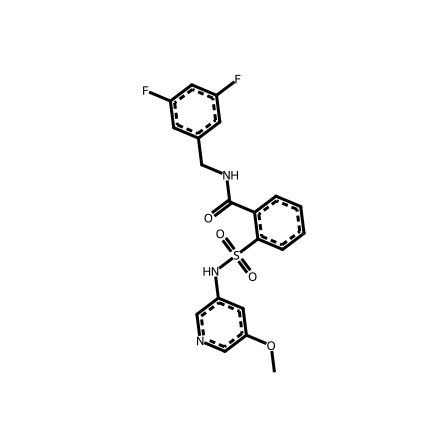 COc1cncc(NS(=O)(=O)c2ccccc2C(=O)NCc2cc(F)cc(F)c2)c1